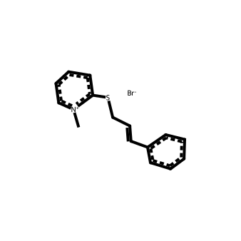 C[n+]1ccccc1SCC=Cc1ccccc1.[Br-]